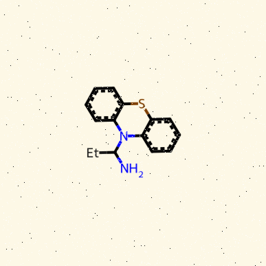 CCC(N)N1c2ccccc2Sc2ccccc21